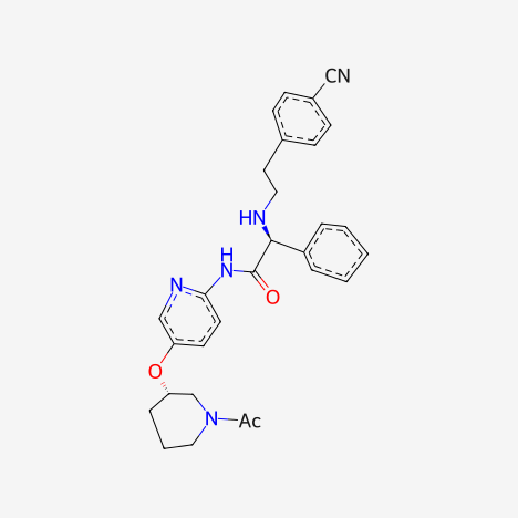 CC(=O)N1CCC[C@H](Oc2ccc(NC(=O)[C@@H](NCCc3ccc(C#N)cc3)c3ccccc3)nc2)C1